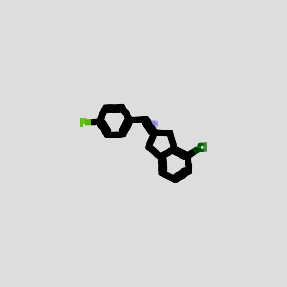 Fc1ccc(/C=C2\Cc3cccc(Cl)c3C2)cc1